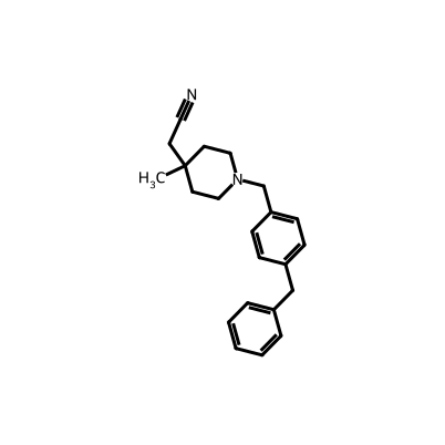 CC1(CC#N)CCN(Cc2ccc(Cc3ccccc3)cc2)CC1